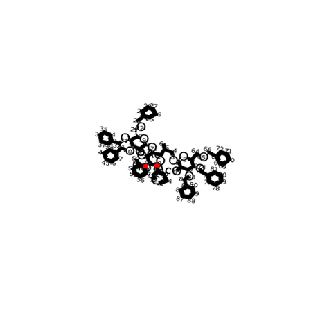 CC(=O)OC1C(OCC(C)C(OCc2ccccc2)C(O[C@H]2O[C@@H](COCc3ccccc3)C(OCc3ccccc3)C(OCc3ccccc3)C2OC(C)=O)C(OCc2ccccc2)C(O)F)OC(COCc2ccccc2)C(OCc2ccccc2)C1OCc1ccccc1